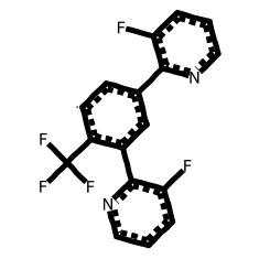 Fc1cccnc1-c1c[c]c(C(F)(F)F)c(-c2ncccc2F)c1